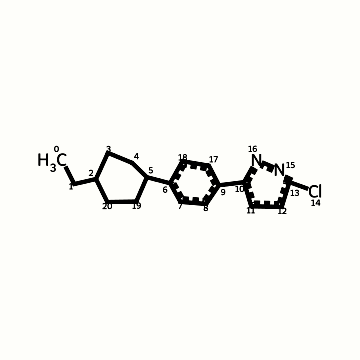 CCC1CCC(c2ccc(-c3ccc(Cl)nn3)cc2)CC1